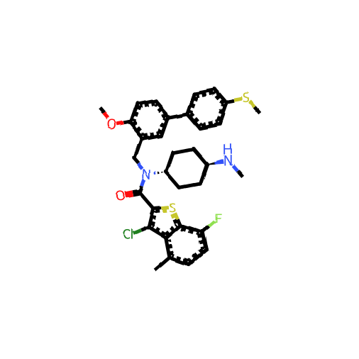 CN[C@H]1CC[C@H](N(Cc2cc(-c3ccc(SC)cc3)ccc2OC)C(=O)c2sc3c(F)ccc(C)c3c2Cl)CC1